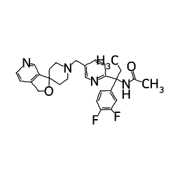 CCC(NC(C)=O)(c1ccc(F)c(F)c1)c1ccc(CN2CCC3(CC2)OCc2ccncc23)cn1